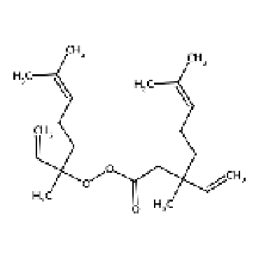 C=CC(C)(CCC=C(C)C)CC(=O)OOC(C)(C=C)CCC=C(C)C